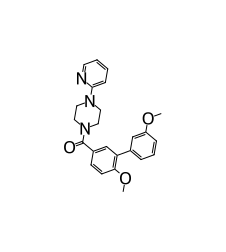 COc1cccc(-c2cc(C(=O)N3CCN(c4ccccn4)CC3)ccc2OC)c1